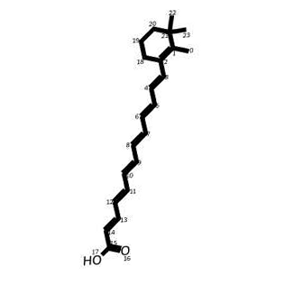 CC1=C(C=CC=CC=CC=CC=CC=CC(=O)O)CCCC1(C)C